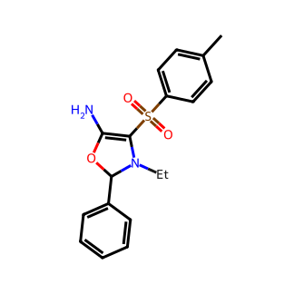 CCN1C(S(=O)(=O)c2ccc(C)cc2)=C(N)OC1c1ccccc1